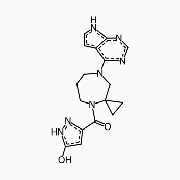 O=C(c1cc(O)[nH]n1)N1CCCN(c2ncnc3[nH]ccc23)CC12CC2